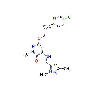 Cc1cc(CNc2cc(OCC3C[C@H]3c3ccc(Cl)cn3)nn(C)c2=O)n(C)n1